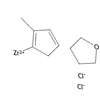 C1CCOC1.CC1=[C]([Zr+2])CC=C1.[Cl-].[Cl-]